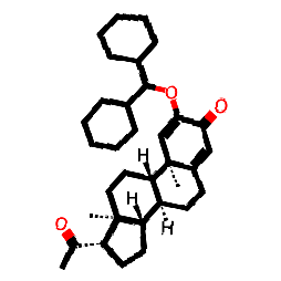 CC(=O)[C@H]1CC[C@H]2[C@@H]3CCC4=CC(=O)C(OC(C5CCCCC5)C5CCCCC5)=C[C@]4(C)[C@H]3CC[C@]12C